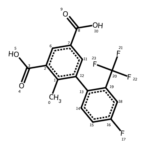 Cc1c(C(=O)O)cc(C(=O)O)cc1-c1ccc(F)cc1C(F)(F)F